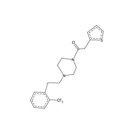 O=C(Cc1cccs1)N1CCN(CCc2ccccc2C(F)(F)F)CC1